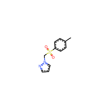 Cc1ccc(S(=O)(=O)Cn2cccn2)cc1